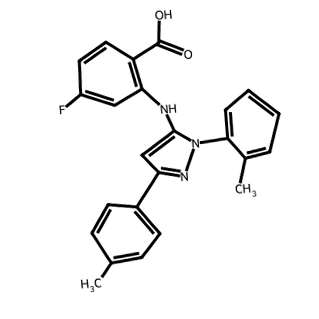 Cc1ccc(-c2cc(Nc3cc(F)ccc3C(=O)O)n(-c3ccccc3C)n2)cc1